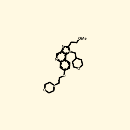 COCCc1nc2cnc3cc(OCCN4CCOCC4)ccc3c2n1CC1CCOCC1